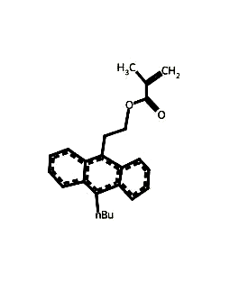 C=C(C)C(=O)OCCc1c2ccccc2c(CCCC)c2ccccc12